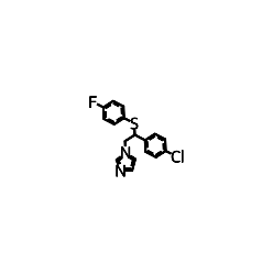 Fc1ccc(SC(Cn2ccnc2)c2ccc(Cl)cc2)cc1